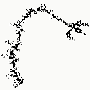 Cn1cc(CCn2c(CNCCOCCOCCNC(=O)CCNC(=O)c3nc(NC(=O)c4cc(NC(=O)CCNC(=O)c5nc(NC(=O)CCCNC(=O)c6cc(NC(=O)c7nc(NC(=O)CCNC(=O)c8cc(NC(=O)c9nccn9C)cn8C)cn7C)cn6C)cn5C)cn4C)cn3C)nc(-c3cnn(C)c3)c2-c2ccc(C#N)cc2)cn1